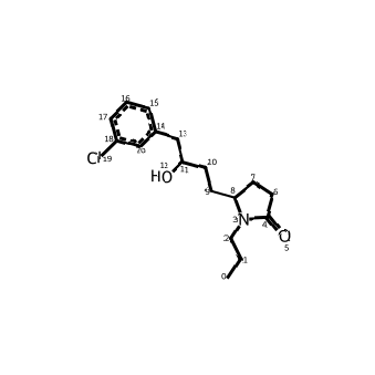 CC[CH]N1C(=O)CCC1CCC(O)Cc1cccc(Cl)c1